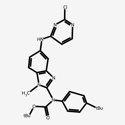 Cn1c(N(C(=O)OC(C)(C)C)c2ccc(C(C)(C)C)cc2)nc2cc(Nc3ccnc(Cl)n3)ccc21